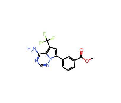 COC(=O)c1cccc(-c2cc(C(F)(F)F)c3c(N)ncnn23)c1